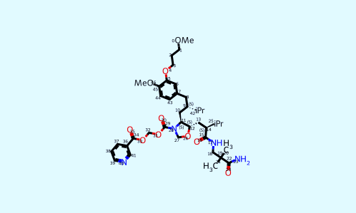 COCCCOc1cc(C[C@@H](C[C@H]2[C@H](C[C@H](C(=O)NCC(C)(C)C(N)=O)C(C)C)OCN2C(=O)OCOC(=O)c2cccnc2)C(C)C)ccc1OC